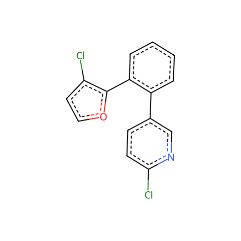 Clc1ccc(-c2ccccc2-c2occc2Cl)cn1